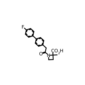 CC1(C(=O)O)CCN1C(=O)Cc1ccc(-c2ccc(F)cc2)cc1